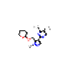 Cc1cnc(-c2cnn(C)c2COC2CCCCO2)nc1C